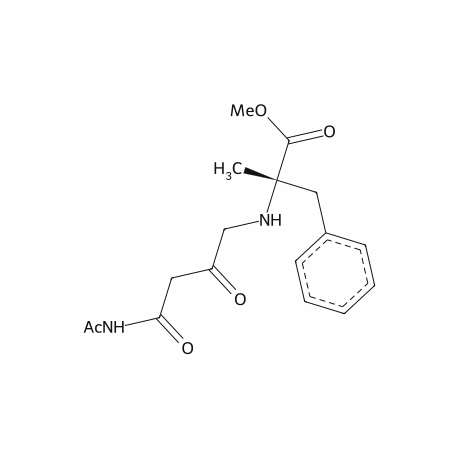 COC(=O)[C@](C)(Cc1ccccc1)NCC(=O)CC(=O)NC(C)=O